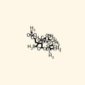 BC1OC2CO[Si](C(C)C)(C(C)C)O[Si](C(C)C)(C(C)C)O[C@H]2[C@@]1(O)CCOS(C)(=O)=O